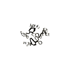 CCN(CC)CCOC(=O)c1ccc(N)cc1.CCN(CC)CCc1cc(N)ccc1C(=O)O